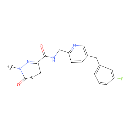 CN1N=C(C(=O)NCc2ccc(Cc3cccc(F)c3)cn2)CCC1=O